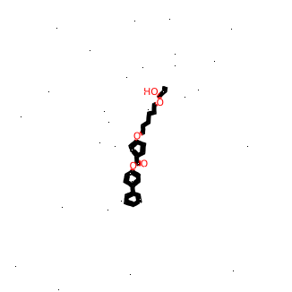 C=CC(O)OCCCCCCOc1ccc(C(=O)Oc2ccc(-c3ccccc3)cc2)cc1